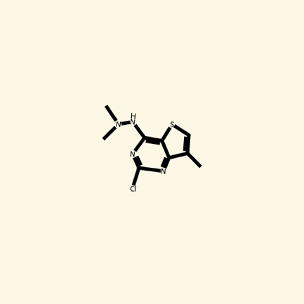 Cc1csc2c(NN(C)C)nc(Cl)nc12